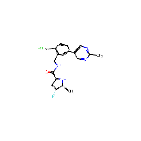 C[C@@H]1N[C@H](C(=O)NCc2cc(-c3cnc(C(F)(F)F)nc3)ccc2C#N)C[C@H]1F.Cl